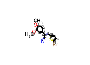 COc1ccc(/C(C#N)=C/c2ccc(Br)s2)cc1OC